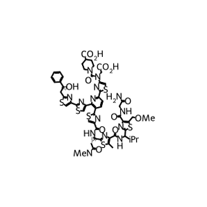 CNC(=O)C[C@H](NC(=O)c1csc(-c2ccc(-c3nc(N(CC(=O)O)C(=O)N4CCC(C(=O)O)CC4)cs3)nc2-c2csc(-c3csc(C[C@@H](O)c4ccccc4)n3)n2)n1)c1nc(C(=O)NC(c2nc(C(=O)NCC(N)=O)c(COC)s2)C(C)C)c(C)s1